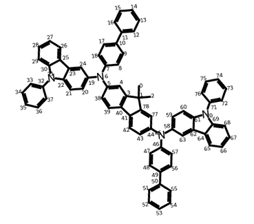 CC1(C)c2cc(N(c3ccc(-c4ccccc4)cc3)c3ccc4c(c3)c3ccccc3n4-c3ccccc3)ccc2-c2ccc(N(c3ccc(-c4ccccc4)cc3)c3ccc4c(c3)c3ccccc3n4-c3ccccc3)cc21